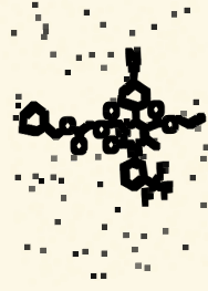 C=CCOC(=O)C1=C(C)N(c2cccc(C(F)(F)F)c2)C(=O)N(C(=O)OCC(=O)OCc2ccccc2)C1c1ccc(C#N)cc1